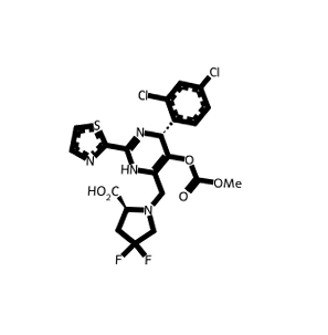 COC(=O)OC1=C(CN2CC(F)(F)C[C@H]2C(=O)O)NC(c2nccs2)=N[C@@H]1c1ccc(Cl)cc1Cl